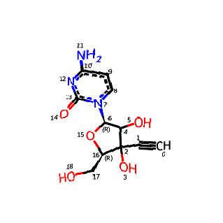 C#CC1(O)C(O)[C@H](n2ccc(N)nc2=O)O[C@@H]1CO